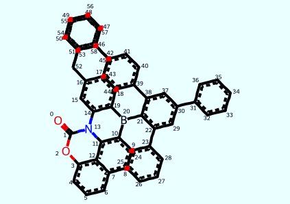 O=C1Oc2cccc3ccc4c(c23)N1c1cc2c(cc1B4c1c(-c3ccccc3)cc(-c3ccccc3)cc1-c1ccccc1)C1c3ccccc3C2c2ccccc21